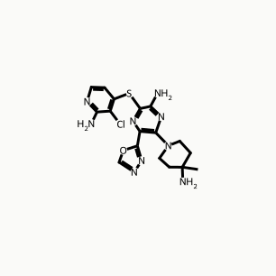 CC1(N)CCN(c2nc(N)c(Sc3ccnc(N)c3Cl)nc2-c2nnco2)CC1